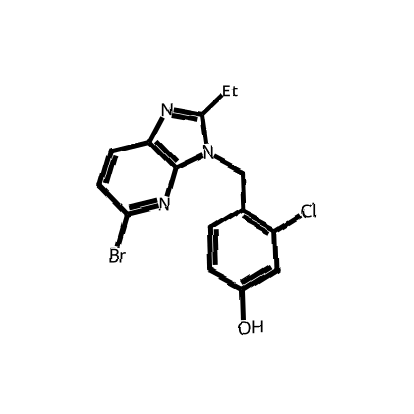 CCc1nc2ccc(Br)nc2n1Cc1ccc(O)cc1Cl